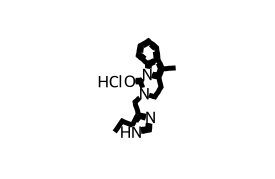 CCc1[nH]cnc1CN1CCc2c(C)c3ccccc3n2C1=O.Cl